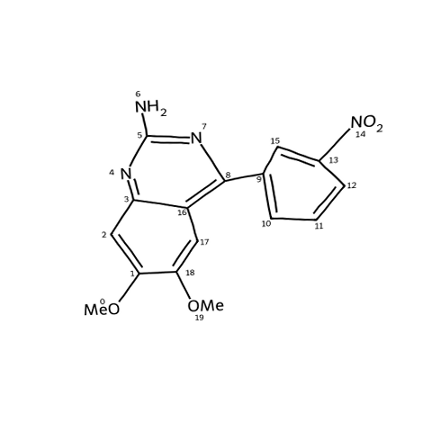 COc1cc2nc(N)nc(-c3cccc([N+](=O)[O-])c3)c2cc1OC